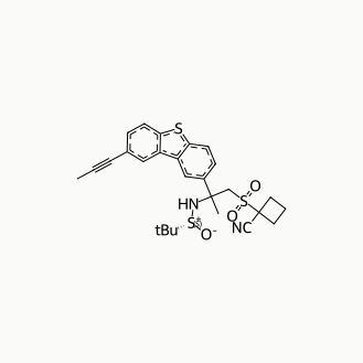 CC#Cc1ccc2sc3ccc(C(C)(CS(=O)(=O)C4(C#N)CCC4)N[S@+]([O-])C(C)(C)C)cc3c2c1